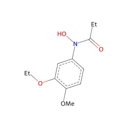 CCOc1cc(N(O)C(=O)CC)ccc1OC